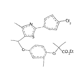 CCOC(=O)C(C)(C)Oc1ccc(OC(C)c2sc(-c3ccc(C(F)(F)F)cc3)nc2C)cc1C